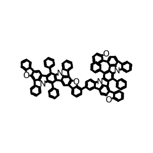 c1ccc(-c2c3c4cc5c6cccc(-c7ccc8c(c7)c7cc9oc%10ccccc%10c9c9c%10c(-c%11ccccc%11)c%11c(c(-c%12ccccc%12)c%10n8c79)c7c8c(cc9c%10ccccc%10n%11c97)oc7ccccc78)c6oc5c5c6ccccc6n(c3c(-c3ccccc3)c3c6cc7c8ccccc8oc7c7c8ccccc8n(c23)c67)c45)cc1